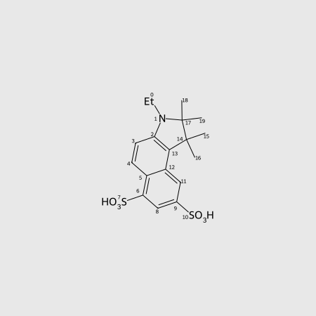 CCN1c2ccc3c(S(=O)(=O)O)cc(S(=O)(=O)O)cc3c2C(C)(C)C1(C)C